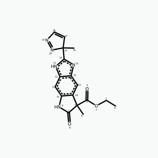 CCOC(=O)C1(C)C(=O)Nc2cc3[nH]c(C4(C)C=CN=N4)nc3cc21